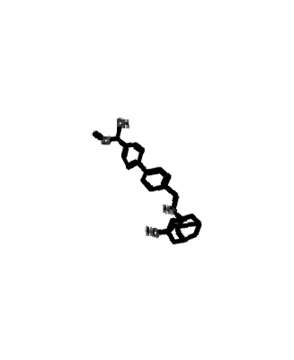 COC(O)c1ccc(-c2ccc(CNC34CC5CC(CC(O)(C5)C3)C4)cc2)cc1